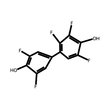 Oc1c(F)cc(-c2cc(F)c(O)c(F)c2F)cc1F